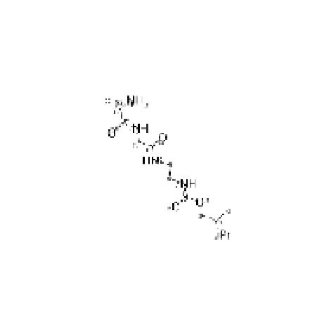 CC(C)C(C)COC(=O)NCCNC(=O)CNC(=O)[C@H](C)N